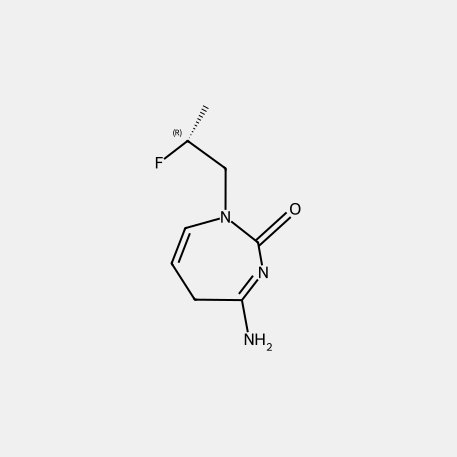 C[C@@H](F)CN1C=CCC(N)=NC1=O